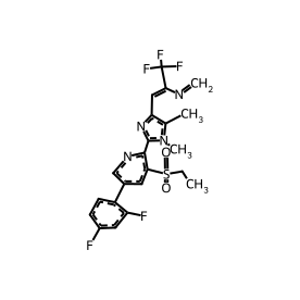 C=N/C(=C\c1nc(-c2ncc(-c3ccc(F)cc3F)cc2S(=O)(=O)CC)n(C)c1C)C(F)(F)F